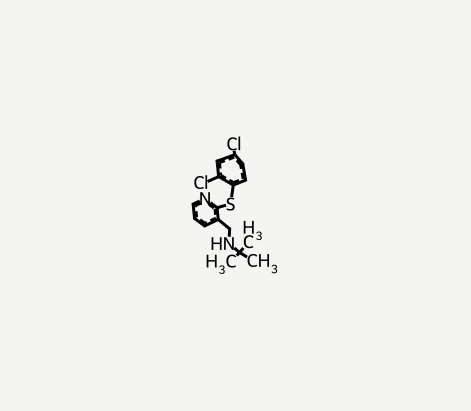 CC(C)(C)NCc1cccnc1Sc1ccc(Cl)cc1Cl